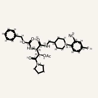 CC(=O)O[C@@H](C(=O)N1CCCC1)[C@@H](NC(=O)OCc1ccccc1)C(=O)NCC1CCN(c2ccc(F)cc2C#N)CC1